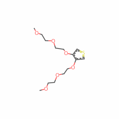 COCCOCCOc1cscc1OCCOCCOC